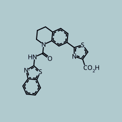 O=C(O)c1csc(-c2ccc3c(c2)N(C(=O)Nc2nc4ccccc4s2)CCC3)n1